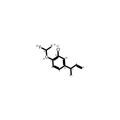 [CH2]C(C=C)c1ccc(OC(F)F)c(Cl)c1